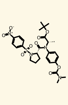 C[C@@H](C(=O)OC(C)(C)C)N(C(=O)[C@@H]1CCCN1S(=O)(=O)c1ccc([N+](=O)[O-])cc1)c1ccc(OC(=O)N(C)C)cc1